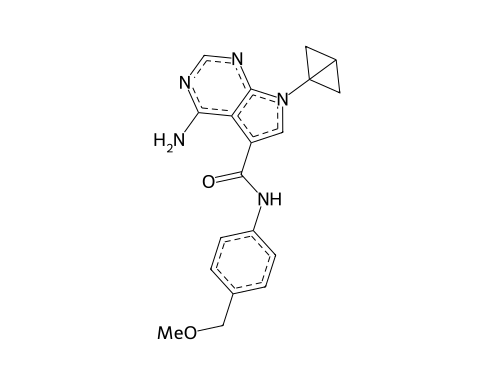 COCc1ccc(NC(=O)c2cn(C34CC3C4)c3ncnc(N)c23)cc1